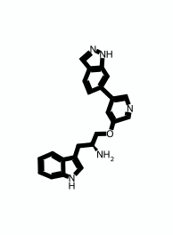 N[C@H](COc1cncc(-c2ccc3cn[nH]c3c2)c1)Cc1c[nH]c2ccccc12